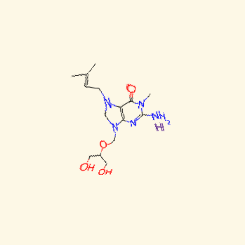 CC(C)=CCN1CN(COC(CO)CO)c2nc(N)n(C)c(=O)c21.I